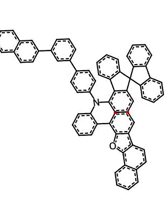 c1cc(-c2ccc(N(c3ccccc3-c3cccc4c3oc3c5ccccc5ccc43)c3cccc4c3-c3ccccc3C43c4ccccc4-c4ccccc43)cc2)cc(-c2ccc3ccccc3c2)c1